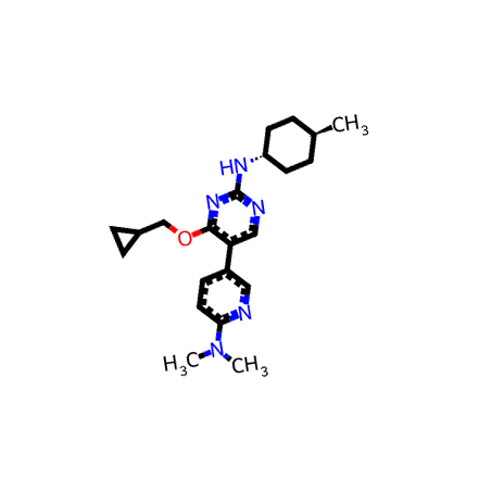 CN(C)c1ccc(-c2cnc(N[C@H]3CC[C@H](C)CC3)nc2OCC2CC2)cn1